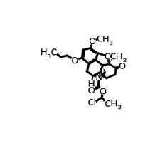 CCCOc1cc(OC)c2c3c1C[C@@H]1[C@@H]4CCC(=O)[C@](C)(O2)[C@]34CCN1C(=O)OC(C)Cl